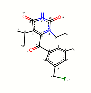 CCn1c(C(=O)c2cc(C)cc(CF)c2)c(C(C)C)c(=O)[nH]c1=O